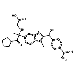 Cn1c(C(N)c2ccc(C(=N)N)cc2)nc2cc(C(C)(NCC(=O)O)C(=O)N3CCCC3)ccc21